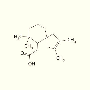 CC1=C(C)CC2(CCCC(C)(C)C2CC(=O)O)C1